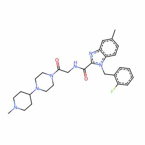 Cc1ccc2c(c1)nc(C(=O)NCC(=O)N1CCN(C3CCN(C)CC3)CC1)n2Cc1ccccc1F